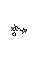 Cc1n[nH]c(C)c1CCc1cc(=O)n2[nH]c(C)c(-c3ccccc3)c2n1